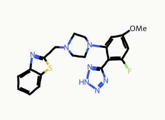 COc1cc(F)c(-c2nn[nH]n2)c(N2CCN(Cc3nc4ccccc4s3)CC2)c1